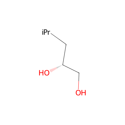 CC(C)C[C@@H](O)CO